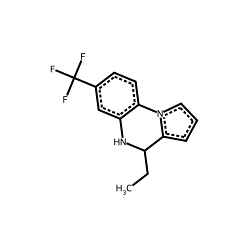 CCC1Nc2cc(C(F)(F)F)ccc2-n2cccc21